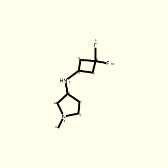 CN1CCC(NC2CC(F)(F)C2)C1